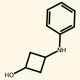 OC1CC(Nc2ccccc2)C1